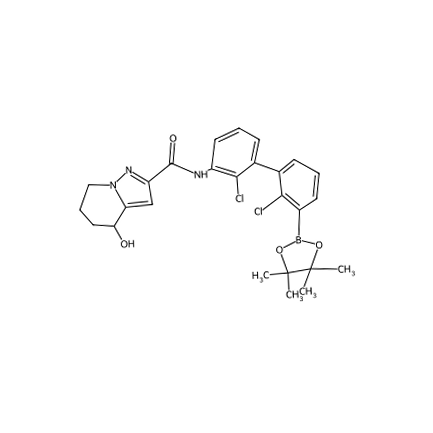 CC1(C)OB(c2cccc(-c3cccc(NC(=O)c4cc5n(n4)CCCC5O)c3Cl)c2Cl)OC1(C)C